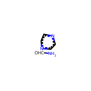 NC=O.c1cnccn1